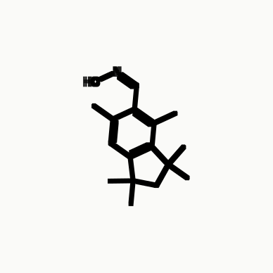 Cc1cc2c(c(C)c1/C=N\O)C(C)(C)CC2(C)C